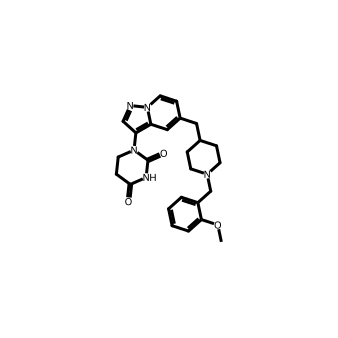 COc1ccccc1CN1CCC(Cc2ccn3ncc(N4CCC(=O)NC4=O)c3c2)CC1